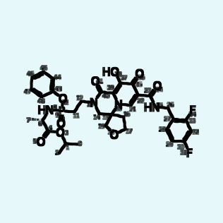 CC(C)OC(=O)[C@H](C)NP(=O)(CCN1CC2(CCOC2)n2cc(C(=O)NCc3ccc(F)cc3F)c(=O)c(O)c2C1=O)Oc1ccccc1